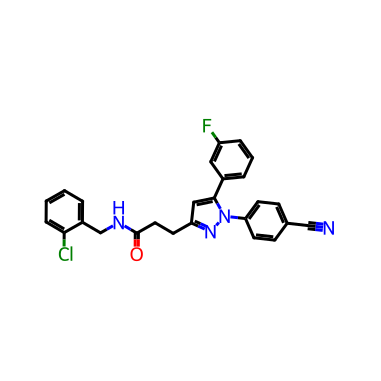 N#Cc1ccc(-n2nc(CCC(=O)NCc3ccccc3Cl)cc2-c2cccc(F)c2)cc1